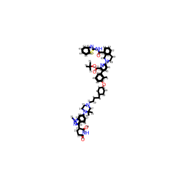 Cc1c(OC2CCC(CCCCN3CCN(c4ccc5c(C6CCC(=O)NC6=O)nn(C)c5c4)C(C)(C)C3)CC2)cccc1-c1ccc(N2CCc3cccc(C(=O)Nc4nc5ccccc5s4)c3C2)nc1C(=O)OC(C)(C)C